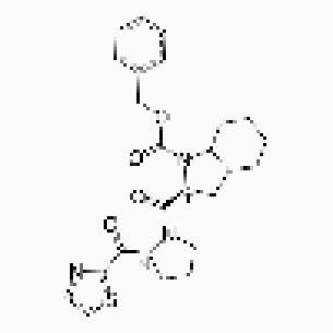 O=C(c1nccs1)[C@@H]1CCCN1C(=O)[C@@H]1CC2CCCCC2N1C(=O)OCc1ccccc1